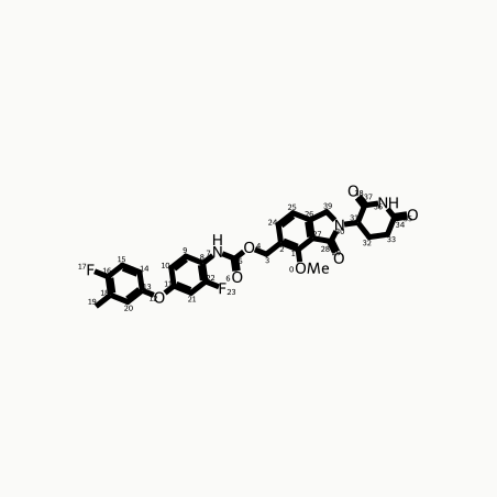 COc1c(COC(=O)Nc2ccc(Oc3ccc(F)c(C)c3)cc2F)ccc2c1C(=O)N(C1CCC(=O)NC1=O)C2